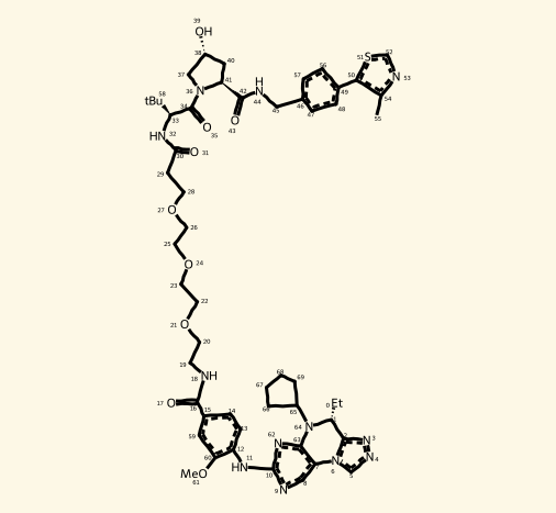 CC[C@@H]1c2nncn2-c2cnc(Nc3ccc(C(=O)NCCOCCOCCOCCC(=O)N[C@H](C(=O)N4C[C@H](O)C[C@H]4C(=O)NCc4ccc(-c5scnc5C)cc4)C(C)(C)C)cc3OC)nc2N1C1CCCC1